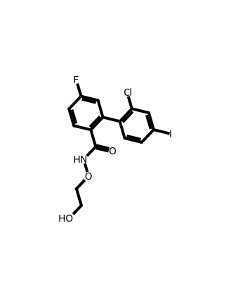 O=C(NOCCO)c1ccc(F)cc1-c1ccc(I)cc1Cl